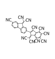 N#CC(C#N)=C1c2cc(C#N)ccc2-c2ccc(C3=C(C#N)c4c(C#N)c(C#N)c(C#N)c(C#N)c4C3=C(C#N)C#N)cc21